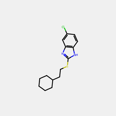 Clc1ccc2[nH]c(SCCC3CCCCC3)nc2c1